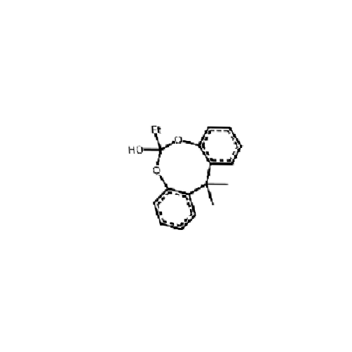 CCC1(O)Oc2ccccc2C(C)(C)c2ccccc2O1